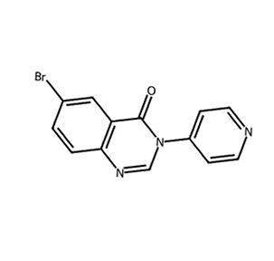 O=c1c2cc(Br)ccc2ncn1-c1ccncc1